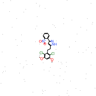 COc1cc(OC)c(Cl)c(CCc2cc(-c3ccccc3[N+](=O)[O-])n[nH]2)c1Cl